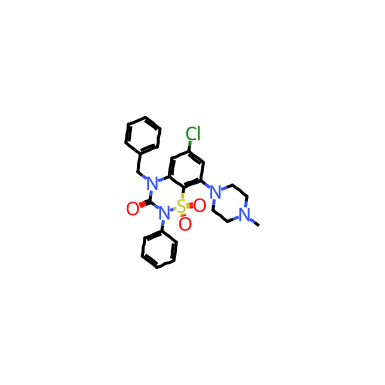 CN1CCN(c2cc(Cl)cc3c2S(=O)(=O)N(c2ccccc2)C(=O)N3Cc2ccccc2)CC1